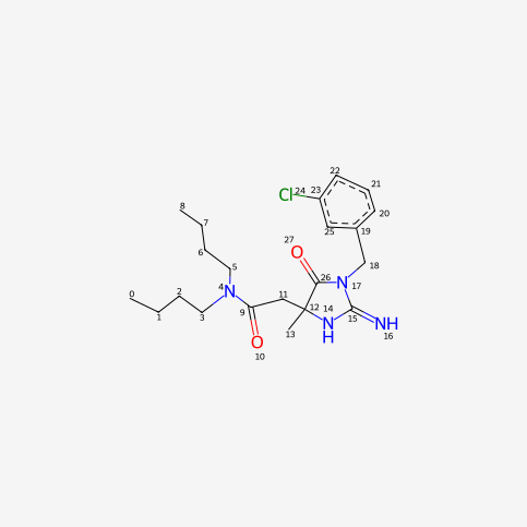 CCCCN(CCCC)C(=O)CC1(C)NC(=N)N(Cc2cccc(Cl)c2)C1=O